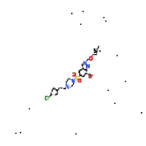 C[Si](C)(C)CCOCn1cc2cc(S(=O)(=O)N3CCN(CCc4ccc(Cl)cc4)CC3)cc(Br)c2n1